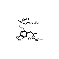 CCCCCCCC[S+]([O-])C(C)Cc1ccc2c(c1)OCO2.CCOP(=S)(OCC)SCSC(C)(C)C